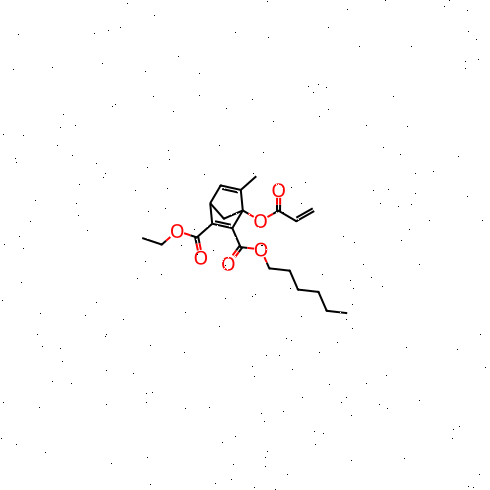 C=CC(=O)OC12CC(C=C1C)C(C(=O)OCC)=C2C(=O)OCCCCCC